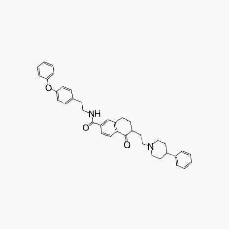 O=C(NCCc1ccc(Oc2ccccc2)cc1)c1ccc2c(c1)CCC(CCN1CCC(c3ccccc3)CC1)C2=O